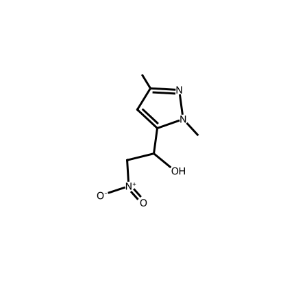 Cc1cc(C(O)C[N+](=O)[O-])n(C)n1